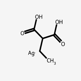 CCC(C(=O)O)C(=O)O.[Ag]